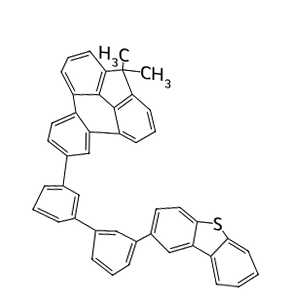 CC1(C)c2cccc3c4ccc(-c5cccc(-c6cccc(-c7ccc8sc9ccccc9c8c7)c6)c5)cc4c4cccc1c4c23